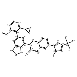 COc1ncnc(C2CC2)c1-c1nc2c(c(N(Cc3ccc(-c4nc(C(F)(F)F)cn4C)cc3)C(N)=O)n1)CCC2